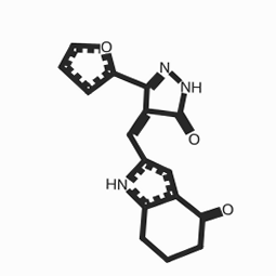 O=C1NN=C(c2ccco2)C1=Cc1cc2c([nH]1)CCCC2=O